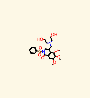 COc1cc2c(=O)n(S(=O)(=O)c3ccccc3)cc(CN(CCO)CCO)c2c(OC)c1OC